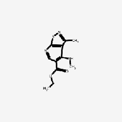 CCOC(=O)c1cnc2snc(C)c2c1NC